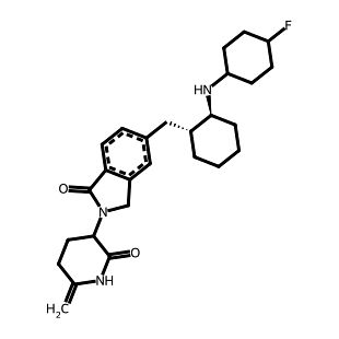 C=C1CCC(N2Cc3cc(C[C@H]4CCCC[C@@H]4NC4CCC(F)CC4)ccc3C2=O)C(=O)N1